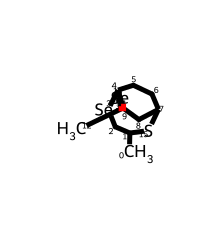 CC1C[Se]C23CCC(CC2SC(C)C[Se]3)S1